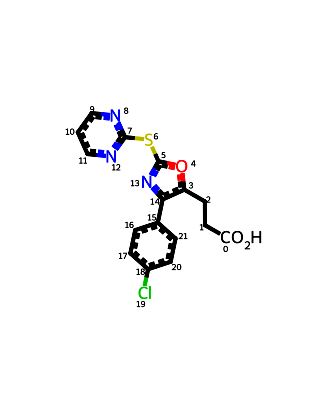 O=C(O)CCc1oc(Sc2ncccn2)nc1-c1ccc(Cl)cc1